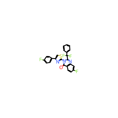 O=c1c2ccc(F)cc2nc(C(F)(F)c2ccccc2)n1-c1nc(-c2ccc(F)cc2)cs1